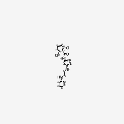 O=C(Nc1nnc(NCCNc2ccccc2)s1)c1c(Cl)cccc1Cl